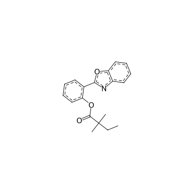 CCC(C)(C)C(=O)Oc1ccccc1-c1nc2ccccc2o1